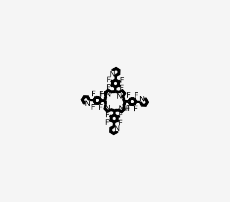 Fc1c(F)c(-c2c3nc(c(-c4c(F)c(F)c(-c5ccccn5)c(F)c4F)c4ccc([nH]4)c(-c4c(F)c(F)c(-c5ccccn5)c(F)c4F)c4nc(c(-c5c(F)c(F)c(-c6ccccn6)c(F)c5F)c5ccc2[nH]5)C=C4)C=C3)c(F)c(F)c1-c1ccccn1